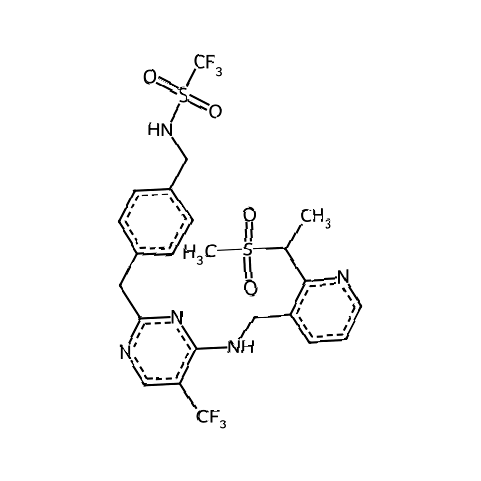 CC(c1ncccc1CNc1nc(Cc2ccc(CNS(=O)(=O)C(F)(F)F)cc2)ncc1C(F)(F)F)S(C)(=O)=O